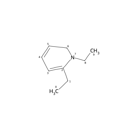 CCC1=CC=CCN1CC